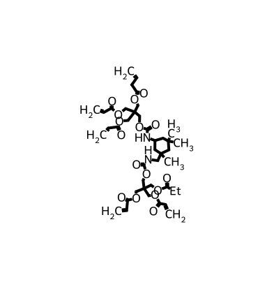 C=CCC(=O)OCC(COC(=O)C=C)(COC(=O)C=C)COC(=O)NC1CC(C)(C)CC(C)(CNC(=O)OCC(COC(=O)C=C)(COC(=O)C=C)COC(=O)CC)C1